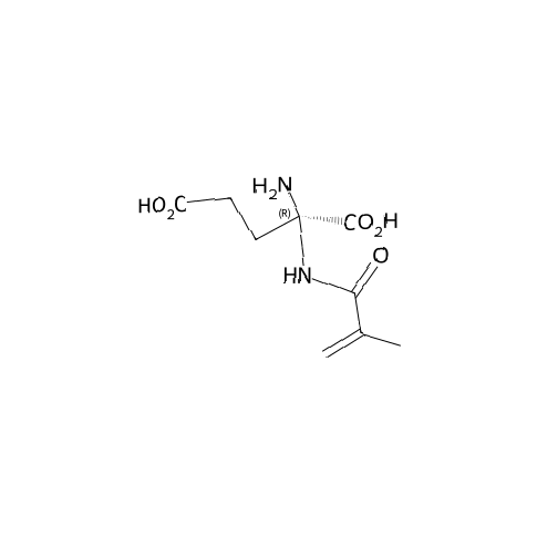 C=C(C)C(=O)N[C@](N)(CCC(=O)O)C(=O)O